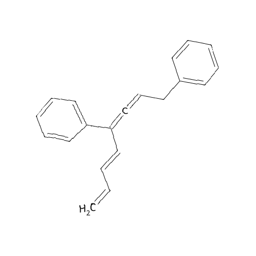 C=CC=CC(=C=CCc1ccccc1)c1ccccc1